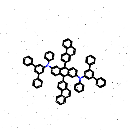 c1ccc(-c2cc(-c3ccccc3)cc(N(c3ccccc3)c3ccc4c(-c5ccc6c(ccc7ccccc76)c5)c5cc(N(c6ccccc6)c6cc(-c7ccccc7)cc(-c7ccccc7)c6)ccc5c(-c5ccc6c(ccc7ccccc76)c5)c4c3)c2)cc1